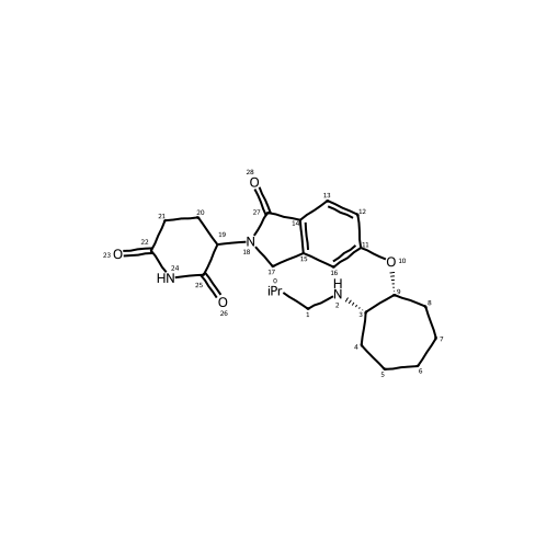 CC(C)CN[C@H]1CCCCC[C@H]1Oc1ccc2c(c1)CN(C1CCC(=O)NC1=O)C2=O